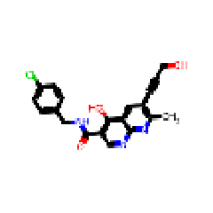 Cc1nc2ncc(C(=O)NCc3ccc(Cl)cc3)c(O)c2cc1C#CCO